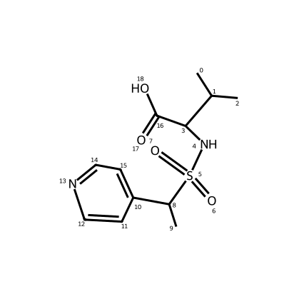 CC(C)C(NS(=O)(=O)C(C)c1ccncc1)C(=O)O